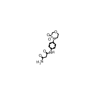 NC(=O)CC(=O)Nc1ccc(N2CCOCS2(=O)=O)cc1